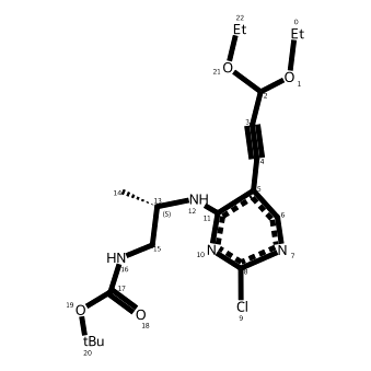 CCOC(C#Cc1cnc(Cl)nc1N[C@@H](C)CNC(=O)OC(C)(C)C)OCC